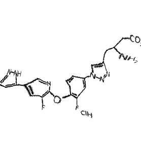 Cl.NC(CC(=O)O)Cc1cn(-c2ccc(Oc3ncc(-c4ccn[nH]4)cc3F)c(F)c2)nn1